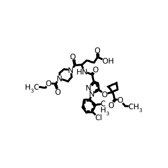 CCOC(=O)N1CCN(C(=O)C(CCC(=O)O)NC(=O)c2cc(OC3(C(=O)OCC)CCC3)n(-c3cccc(Cl)c3C)n2)CC1